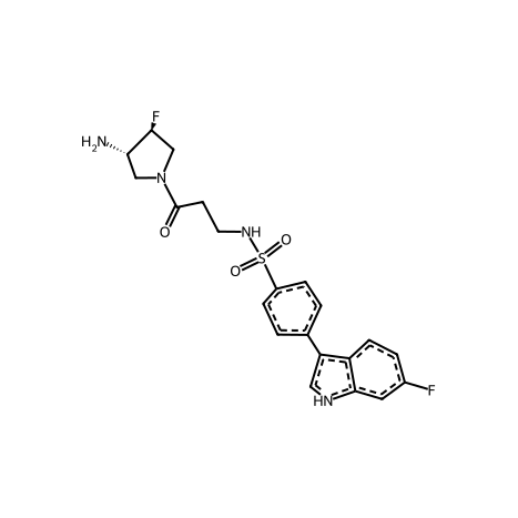 N[C@H]1CN(C(=O)CCNS(=O)(=O)c2ccc(-c3c[nH]c4cc(F)ccc34)cc2)C[C@@H]1F